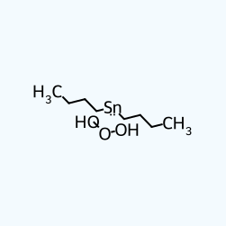 CCC[CH2][Sn][CH2]CCC.OOO